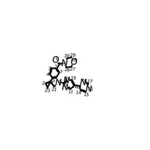 O=C(c1ccc2c(c1)N(c1ncc(-c3ccncn3)cn1)CC21CC1)N1CCOCC1